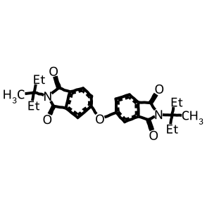 CCC(C)(CC)N1C(=O)c2ccc(Oc3ccc4c(c3)C(=O)N(C(C)(CC)CC)C4=O)cc2C1=O